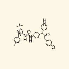 COc1ccc(CC(=O)C(c2ccc(NC(=O)Nc3cc(C(C)(C)C)nn3-c3ccc(C)cc3)cc2)C2CCNCC2)cc1